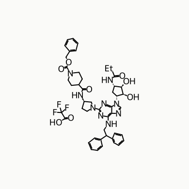 CCC(=O)N[C@H]1C[C@@H](n2cnc3c(NCC(c4ccccc4)c4ccccc4)nc(N4CC[C@@H](NC(=O)C5CCN(C(=O)OCc6ccccc6)CC5)C4)nc32)[C@H](O)[C@@H]1O.O=C(O)C(F)(F)F